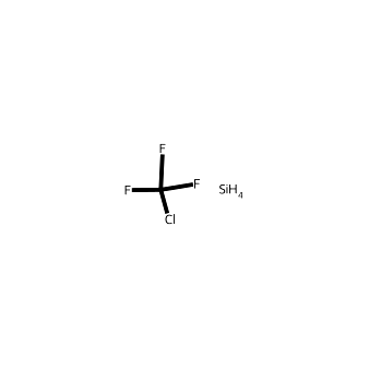 FC(F)(F)Cl.[SiH4]